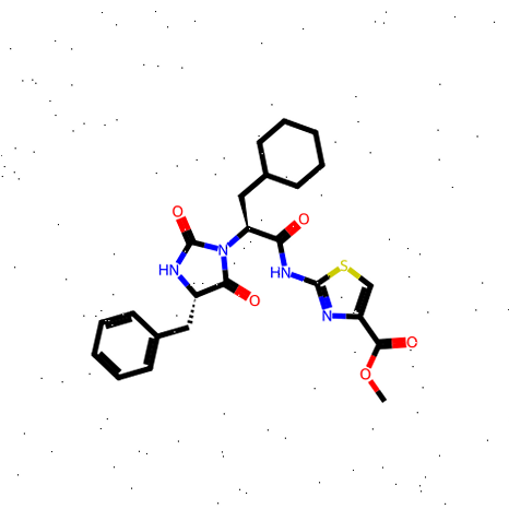 COC(=O)c1csc(NC(=O)[C@H](CC2CCCCC2)N2C(=O)N[C@@H](Cc3ccccc3)C2=O)n1